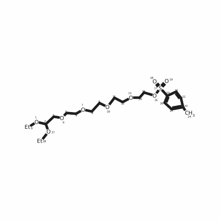 CCOC(COCCOCCOCCOCCOS(=O)(=O)c1ccc(C)cc1)OCC